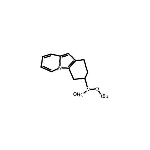 CC(C)(C)ON(C=O)C1CCc2cc3ccccn3c2C1